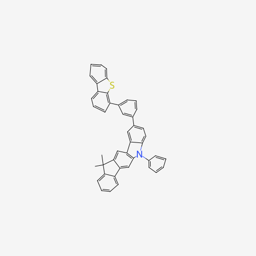 CC1(C)c2ccccc2-c2cc3c(cc21)c1cc(-c2cccc(-c4cccc5c4sc4ccccc45)c2)ccc1n3-c1ccccc1